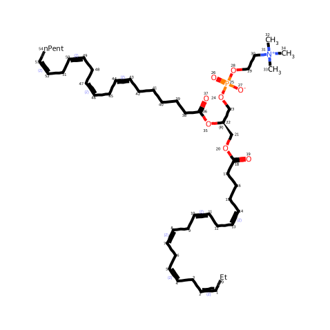 CC/C=C\C/C=C\C/C=C\C/C=C\C/C=C\CCCC(=O)OC[C@H](COP(=O)([O-])OCC[N+](C)(C)C)OC(=O)CCCCC/C=C\C/C=C\C/C=C\C/C=C\CCCCC